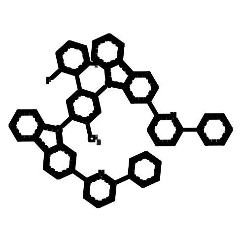 Fc1cccc(F)c1-c1cc(-n2c3ccccc3c3ccc(-c4cccc(-c5ccccc5)n4)cc32)c(C(F)(F)F)cc1-n1c2ccccc2c2ccc(-c3cccc(-c4ccccc4)n3)cc21